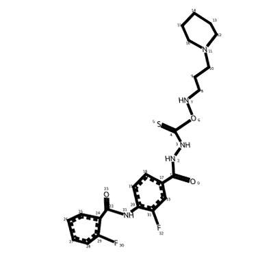 O=C(NNC(=S)ONCCCN1CCCCC1)c1ccc(NC(=O)c2ccccc2F)c(F)c1